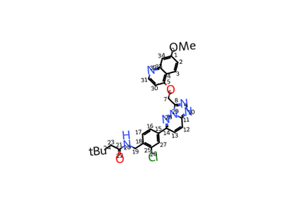 COc1ccc2c(OCc3nnc4ccc(-c5ccc(CNC(=O)CC(C)(C)C)c(Cl)c5)nn34)ccnc2c1